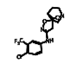 FC(F)(F)c1cc(NC2=NOC3(C2)CN2CCC3CC2)ccc1Cl